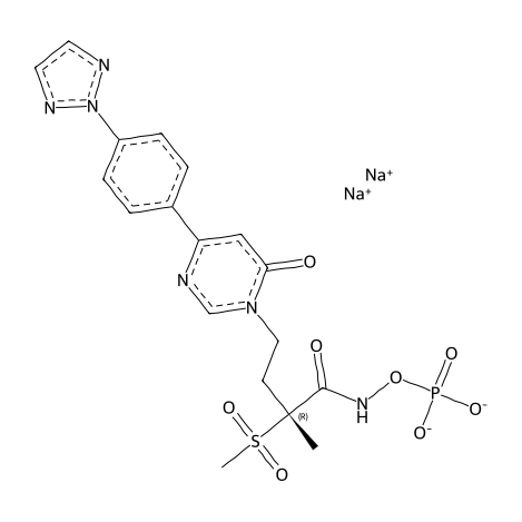 C[C@@](CCn1cnc(-c2ccc(-n3nccn3)cc2)cc1=O)(C(=O)NOP(=O)([O-])[O-])S(C)(=O)=O.[Na+].[Na+]